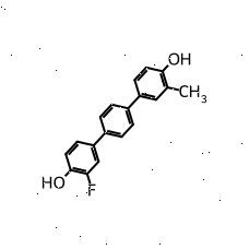 Cc1cc(-c2ccc(-c3ccc(O)c(F)c3)cc2)ccc1O